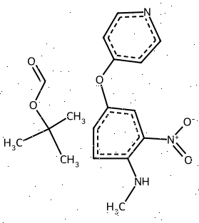 CC(C)(C)OC=O.CNc1ccc(Oc2ccncc2)cc1[N+](=O)[O-]